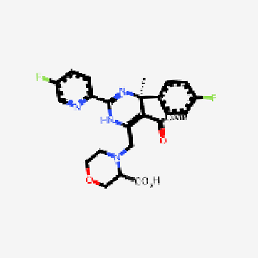 COC(=O)C1=C(CN2CCOCC2C(=O)O)NC(c2ccc(F)cn2)=N[C@@]1(C)c1ccc(F)cc1